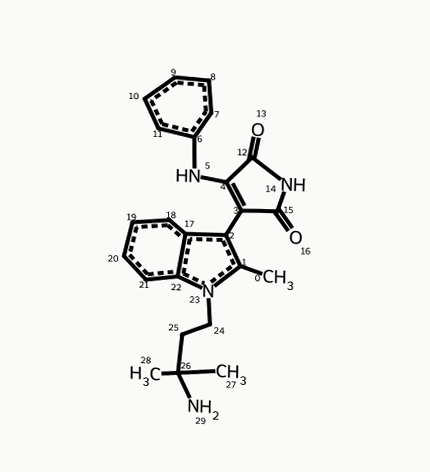 Cc1c(C2=C(Nc3ccccc3)C(=O)NC2=O)c2ccccc2n1CCC(C)(C)N